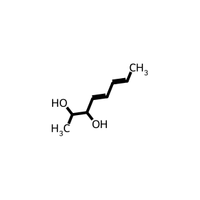 CC=CC=CC(O)C(C)O